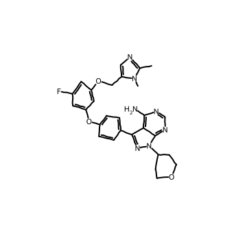 Cc1ncc(COc2cc(F)cc(Oc3ccc(-c4nn(C5CCOCC5)c5ncnc(N)c45)cc3)c2)n1C